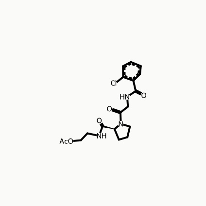 CC(=O)OCCNC(=O)[C@@H]1CCCN1C(=O)CNC(=O)c1ccccc1Cl